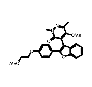 COCCOc1ccc(-c2oc3ccccc3c2-c2c(OC)c(C)nn(C)c2=O)cc1